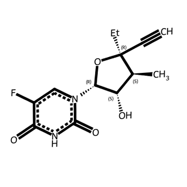 C#C[C@]1(CC)O[C@@H](n2cc(F)c(=O)[nH]c2=O)[C@@H](O)[C@@H]1C